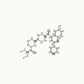 CCN(CC)C(=O)C1CCCN(C2CCN(C(=O)c3cc(-c4ccncc4)nc4ccc(C)cc34)CC2)C1